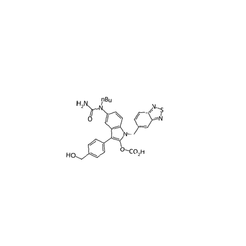 CCCCN(C(N)=O)c1ccc2c(c1)c(-c1ccc(CO)cc1)c(OC(=O)O)n2Cc1ccc2nsnc2c1